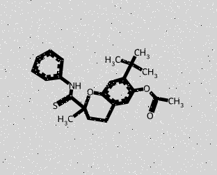 CC(=O)Oc1cc2c(cc1C(C)(C)C)OC(C)(C(=S)Nc1ccccc1)CC2